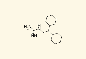 N=C(N)NCC(C1CCCCC1)C1CCCCC1